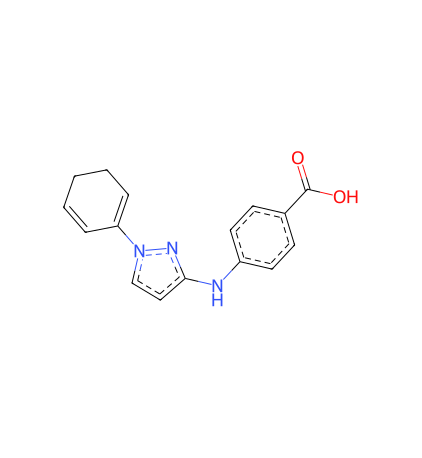 O=C(O)c1ccc(Nc2ccn(C3=CCCC=C3)n2)cc1